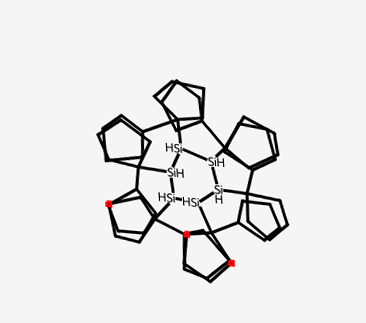 C1CCC(C2([SiH]3[SiH](C4(C5CCCC5)CCCC4)[SiH](C4(C5CCCC5)CCCC4)[SiH](C4(C5CCCC5)CCCC4)[SiH](C4(C5CCCC5)CCCC4)[SiH]3C3(C4CCCC4)CCCC3)CCCC2)C1